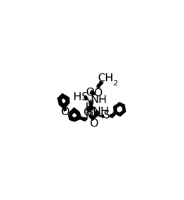 C=CCOC(=O)N[C@@H](CS)C(=O)N[C@@H](CSCC1CCCCC1)C(=O)NCc1ccc(Oc2ccccc2)cc1